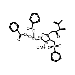 C=C(C)C(=C)C(=O)C[C@@H]1O[C@H](C[C@@H](COC(=O)c2ccccc2)OC(=O)c2ccccc2)[C@H](OC)C1CS(=O)(=O)c1ccccc1